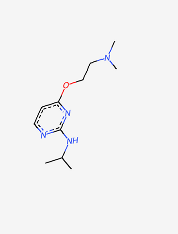 CC(C)Nc1nccc(OCCN(C)C)n1